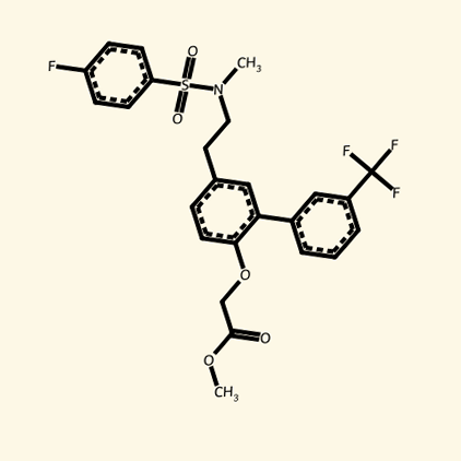 COC(=O)COc1ccc(CCN(C)S(=O)(=O)c2ccc(F)cc2)cc1-c1cccc(C(F)(F)F)c1